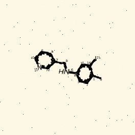 Cc1ccc(NCc2cccnc2)cc1I